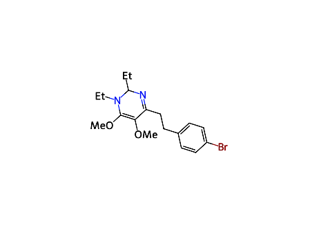 CCC1N=C(CCc2ccc(Br)cc2)C(OC)=C(OC)N1CC